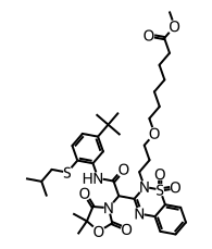 COC(=O)CCCCCCOCCCN1C(C(C(=O)Nc2cc(C(C)(C)C)ccc2SCC(C)C)N2C(=O)OC(C)(C)C2=O)=Nc2ccccc2S1(=O)=O